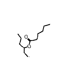 [CH2]CC(CCC)OC(=O)CCCCC